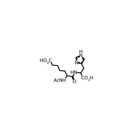 CC(=O)NC(CCCCC(=O)O)C(=O)NC(Cc1c[nH]cn1)C(=O)O